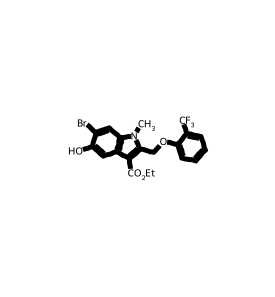 CCOC(=O)c1c(COc2ccccc2C(F)(F)F)n(C)c2cc(Br)c(O)cc12